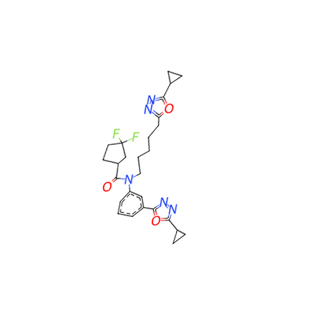 O=C(C1CCC(F)(F)C1)N(CCCCCc1nnc(C2CC2)o1)c1cccc(-c2nnc(C3CC3)o2)c1